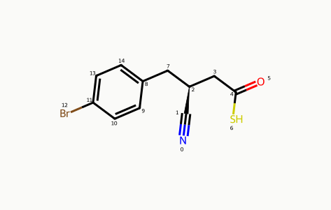 N#C[C@H](CC(=O)S)Cc1ccc(Br)cc1